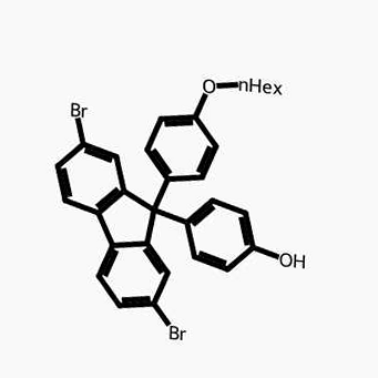 CCCCCCOc1ccc(C2(c3ccc(O)cc3)c3cc(Br)ccc3-c3ccc(Br)cc32)cc1